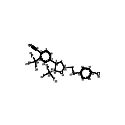 N#Cc1ccc(N2C[C@@H](CSc3ccc(Cl)cc3)O[C@@H]2C(F)(F)F)cc1C(F)(F)F